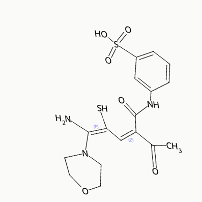 CC(=O)/C(=C/C(S)=C(/N)N1CCOCC1)C(=O)Nc1cccc(S(=O)(=O)O)c1